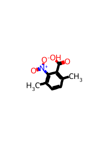 Cc1ccc(C)c([N+](=O)[O-])c1C(=O)O